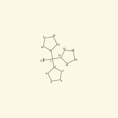 FC(C1CCCC1)(C1CCCC1)C1CCCC1